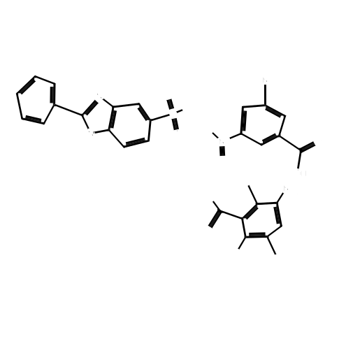 Nc1cc(C(=O)O)cc([N+](=O)[O-])c1.Nc1cc(F)c(F)c(C(=O)O)c1F.O=S(=O)(O)c1ccc2[nH]c(-c3ccccc3)nc2c1